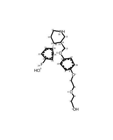 Cl.OCCOCCOc1ccc(OC[C@@H]2CNCC[C@H]2c2ccc(F)cc2)cc1